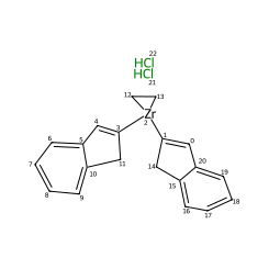 C1=[C]([Zr]2([C]3=Cc4ccccc4C3)[CH2][CH2]2)Cc2ccccc21.Cl.Cl